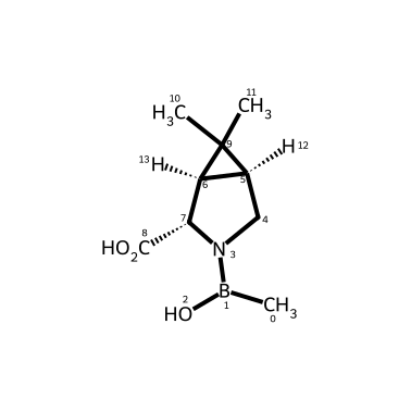 CB(O)N1C[C@H]2[C@@H]([C@H]1C(=O)O)C2(C)C